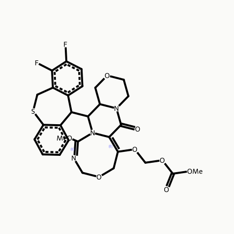 COC(=O)OCO/C1=C2\C(=O)N3CCOCC3C(C3c4ccccc4SCc4c3ccc(F)c4F)N2/C(OC)=N\COC1